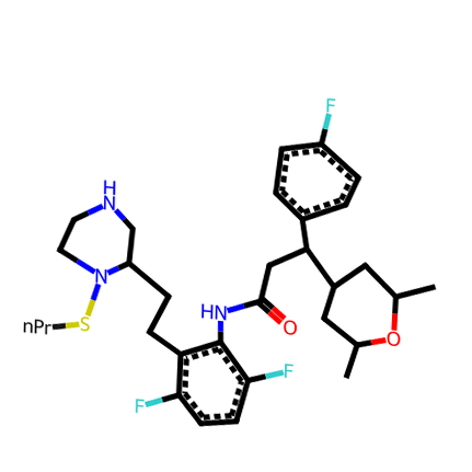 CCCSN1CCNCC1CCc1c(F)ccc(F)c1NC(=O)CC(c1ccc(F)cc1)C1CC(C)OC(C)C1